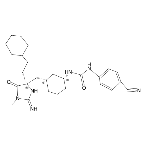 CN1C(=N)N[C@](CCC2CCCCC2)(C[C@H]2CCC[C@@H](NC(=O)Nc3ccc(C#N)cc3)C2)C1=O